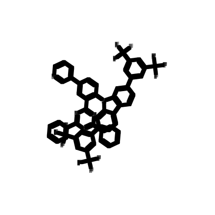 FC(F)(F)c1cc(-c2ccc3c4ccc(-c5cc(C(F)(F)F)cc(C(F)(F)F)c5)cc4n(-c4ccc(-c5cccnc5)cc4-c4nc(-c5ccccc5)nc(-c5ccccc5)n4)c3c2)cc(C(F)(F)F)c1